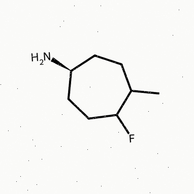 CC1CC[C@H](N)CCC1F